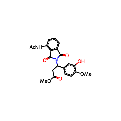 COC(=O)CC(c1ccc(OC)c(O)c1)N1C(=O)c2cccc(NC(C)=O)c2C1=O